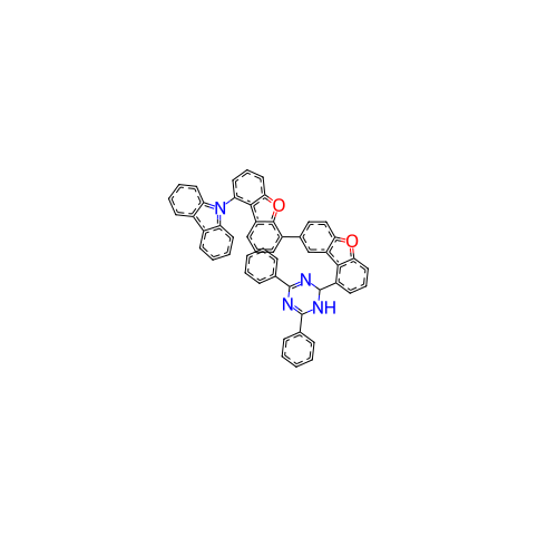 c1ccc(C2=NC(c3cccc4oc5ccc(-c6cccc7c6oc6cccc(-n8c9ccccc9c9ccccc98)c67)cc5c34)NC(c3ccccc3)=N2)cc1